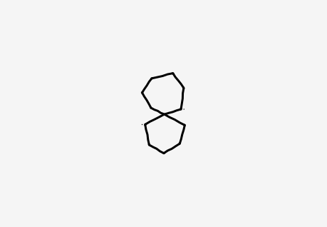 [CH]1CCCCCC12[CH]CCCC2